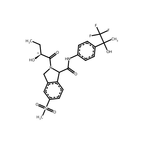 CC[C@H](O)C(=O)N1Cc2cc(S(C)(=O)=O)ccc2C1C(=O)Nc1ccc(C(C)(O)C(F)(F)F)cc1